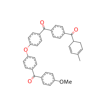 COc1ccc(C(=O)c2ccc(Oc3ccc(C(=O)c4ccc(C(=O)C5C=CC(C)=CC5)cc4)cc3)cc2)cc1